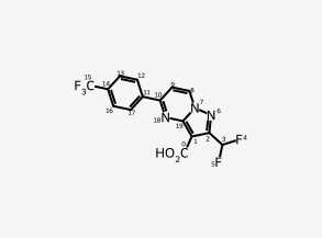 O=C(O)c1c(C(F)F)nn2ccc(-c3ccc(C(F)(F)F)cc3)nc12